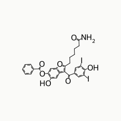 NC(=O)CCCCCc1oc2cc(OC(=O)c3ccccc3)c(O)cc2c1C(=O)c1cc(I)c(O)c(I)c1